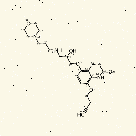 C#CCCOc1ccc(OCC(O)CNCCCN2CCOCC2)c2c1NC(=O)CC2